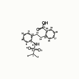 CC(C)S(=O)(=O)Nc1ccccc1CCc1ccccc1C(=O)O